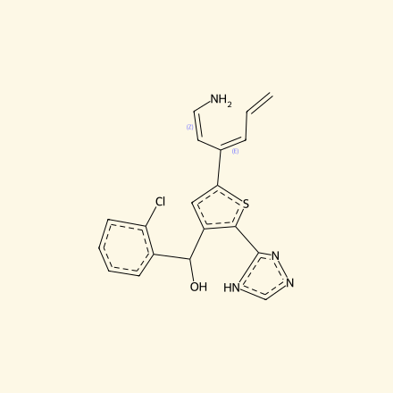 C=C/C=C(\C=C/N)c1cc(C(O)c2ccccc2Cl)c(-c2nnc[nH]2)s1